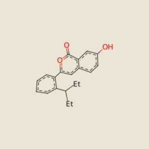 CCC(CC)c1ccccc1-c1cc2ccc(O)cc2c(=O)o1